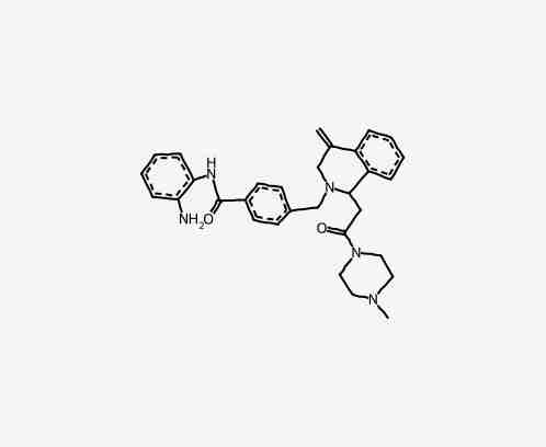 C=C1CN(Cc2ccc(C(=O)Nc3ccccc3N)cc2)C(CC(=O)N2CCN(C)CC2)c2ccccc21